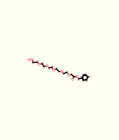 O=C(COCCOCCOCCOCCOCCO)OCc1ccccc1